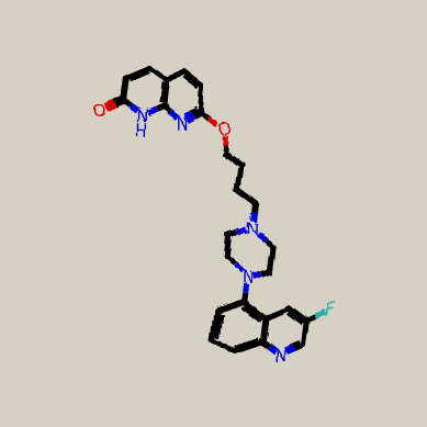 O=c1ccc2ccc(OCCCCN3CCN(c4cccc5ncc(F)cc45)CC3)nc2[nH]1